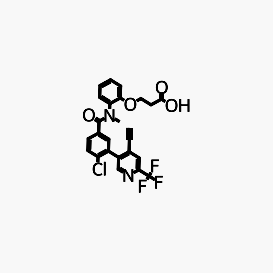 C#Cc1cc(C(F)(F)F)ncc1-c1cc(C(=O)N(C)c2ccccc2OCCC(=O)O)ccc1Cl